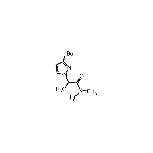 CCCCc1ccn(C(C)C(=O)N(C)C)n1